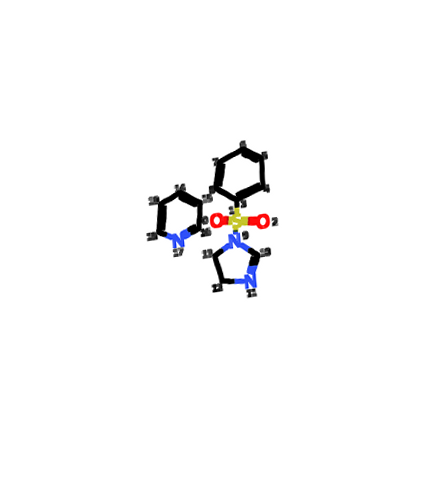 O=S(=O)(c1ccccc1)N1C=NCC1.c1ccncc1